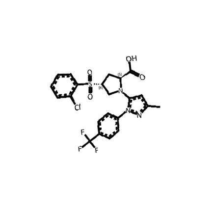 Cc1cc(N2C[C@H](S(=O)(=O)c3ccccc3Cl)C[C@H]2C(=O)O)n(-c2ccc(C(F)(F)F)cc2)n1